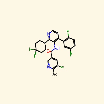 CC(=O)c1ncc(C(=O)Nc2c(-c3cc(F)ccc3F)ccnc2C2CCC(F)(F)CC2)cc1F